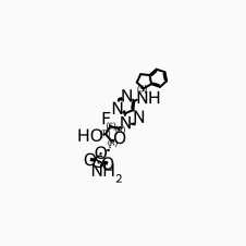 NS(=O)(=O)OC[C@H]1O[C@@H](n2cnc3c(N[C@H]4CCc5ccccc54)ncnc32)[C@@H](F)[C@@H]1O